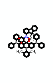 Cc1cccc(C)c1B1c2ccc(B(c3ccccc3)c3ccccc3)cc2C2(c3cc(B(c4ccccc4)c4ccccc4)ccc31)c1ccccc1N(c1cccc3c1C(C)(C)c1ccccc1-3)c1ccccc12